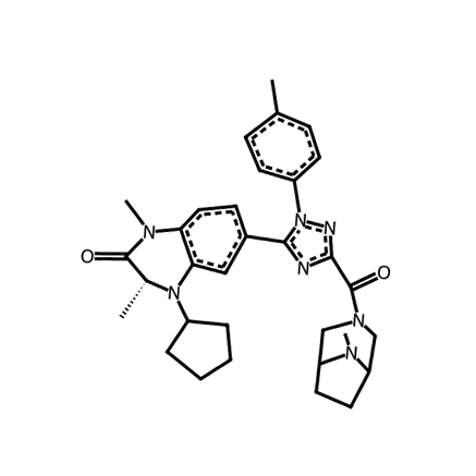 Cc1ccc(-n2nc(C(=O)N3CC4CCC(C3)N4C)nc2-c2ccc3c(c2)N(C2CCCC2)[C@H](C)C(=O)N3C)cc1